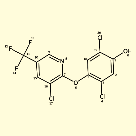 Oc1cc(Cl)c(Oc2ncc(C(F)(F)F)cc2Cl)cc1Cl